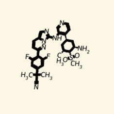 C[C@H]1C[C@@H](c2ccncc2Nc2ncc3ccc(-c4c(F)cc(C(C)(C)C#N)cc4F)nn23)C[C@@H](N)[C@H]1S(C)(=O)=O